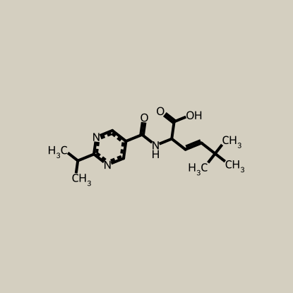 CC(C)c1ncc(C(=O)NC(/C=C/C(C)(C)C)C(=O)O)cn1